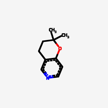 CC1(C)CCc2cnccc2O1